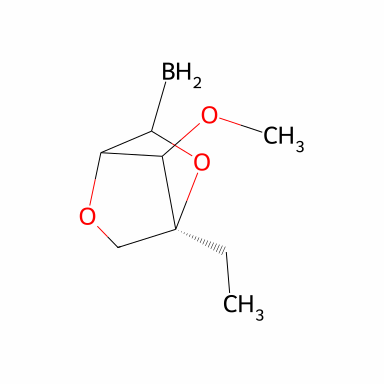 BC1O[C@@]2(CC)COC1C2OC